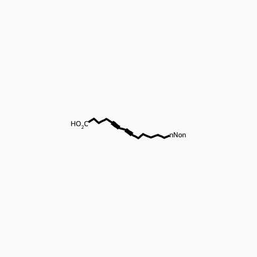 CCCCCCCCCCCCCCC#CC#CCCCC(=O)O